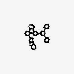 c1ccc(-c2cc(-c3ccc4c(c3)c3ccccc3c3cccc(-c5ccc6c(c5)sc5ccccc56)c34)cc(-c3ccccc3)n2)cc1